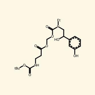 CCN(CC(O)c1cccc(O)c1)C(=O)OCOC(=O)CCNC(=O)OC(C)(C)C